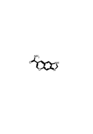 NC(=O)C1=COc2cc3c(cc2=C1)NCN=3